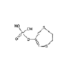 O=P(O)(O)OC1=CSCCSC1